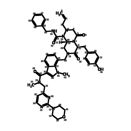 C=CCN1CC(=O)N2[C@@H](Cc3ccc(O)cc3)C(=O)N(Cc3cccc4c(C(=O)N(C)Cc5ccnc(N6CCOCC6)n5)cn(C)c34)C[C@@H]2N1C(=O)NCc1ccccc1